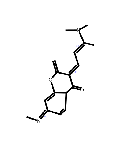 C=C1OC2=C/C(=N\C)C=CC2C(=S)/C1=C/C=C(\C)N(C)C